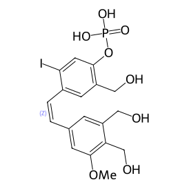 COc1cc(/C=C\c2cc(CO)c(OP(=O)(O)O)cc2I)cc(CO)c1CO